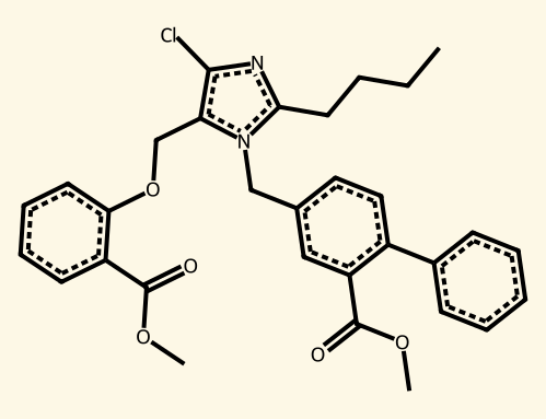 CCCCc1nc(Cl)c(COc2ccccc2C(=O)OC)n1Cc1ccc(-c2ccccc2)c(C(=O)OC)c1